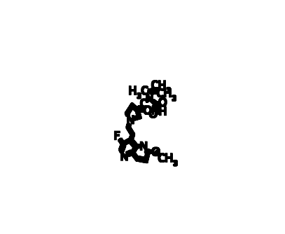 COc1ccc2ncc(F)c(CCN3CCC(O)(CN(C(=O)O)C(C)(C)C)C3)c2n1